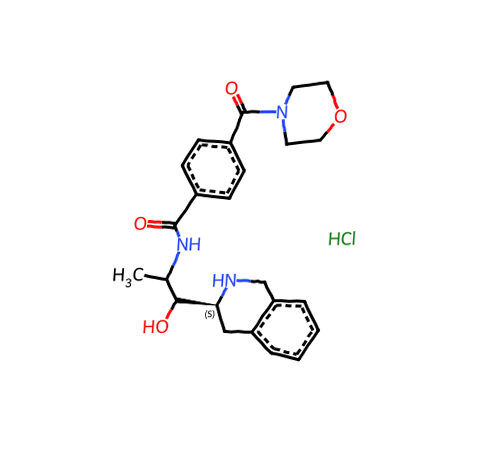 CC(NC(=O)c1ccc(C(=O)N2CCOCC2)cc1)C(O)[C@@H]1Cc2ccccc2CN1.Cl